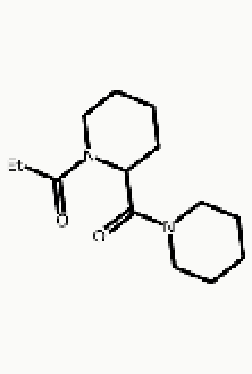 CCC(=O)N1CCCCC1C(=O)N1CCCCC1